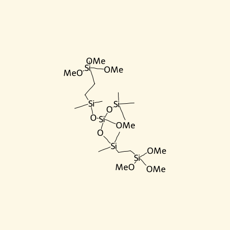 CO[Si](CC[Si](C)(C)O[Si](OC)(O[Si](C)(C)C)O[Si](C)(C)CC[Si](OC)(OC)OC)(OC)OC